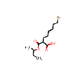 CCC(C)OC(=O)C(CCCCCCBr)C(=O)O